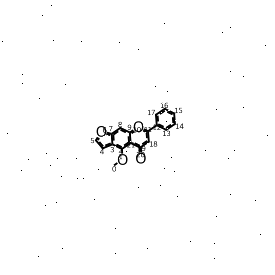 COc1c2ccoc2cc2oc(-c3ccccc3)cc(=O)c12